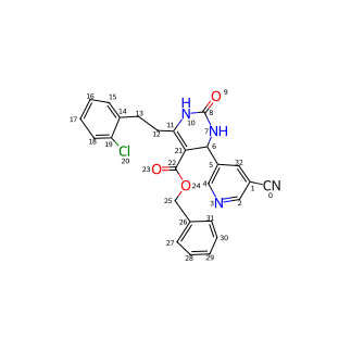 N#Cc1cncc(C2NC(=O)NC(CCc3ccccc3Cl)=C2C(=O)OCc2ccccc2)c1